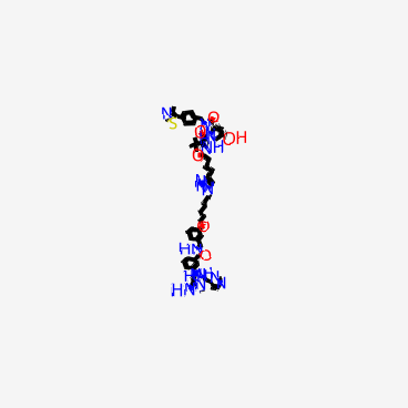 Cc1ncsc1-c1ccc(CNC(=O)[C@@H]2C[C@@H](O)CN2C(=O)[C@@H](NC(=O)CCCc2cn(CCCCCCOc3cccc(CNC(=O)c4cccc(NCC(=N)N(C)C(=N)c5ccncn5)c4)c3)nn2)C(C)(C)C)cc1